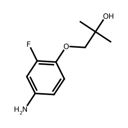 CC(C)(O)COc1ccc(N)cc1F